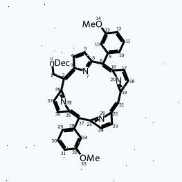 CCCCCCCCCCCC1=C2C=CC(=N2)C(c2cccc(OC)c2)=C2C=CC(=N2)C=C2C=CC(=N2)C(c2cccc(OC)c2)=C2C=CC1=N2